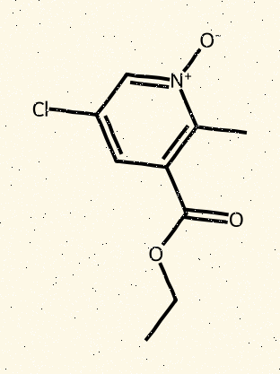 CCOC(=O)c1cc(Cl)c[n+]([O-])c1C